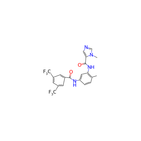 Cc1ccc(NC(=O)c2cc(C(F)(F)F)cc(C(F)(F)F)c2)cc1NC(=O)c1cncn1C